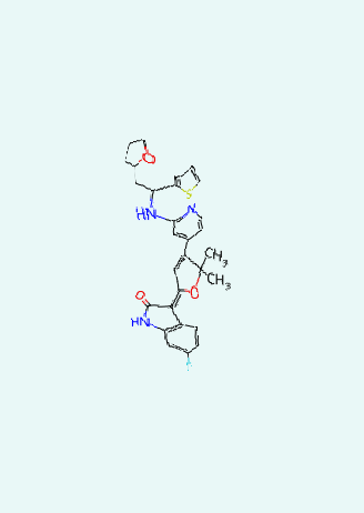 CC1(C)O/C(=C2/C(=O)Nc3cc(F)ccc32)C=C1c1ccnc(NC(CC2CCCO2)c2cccs2)c1